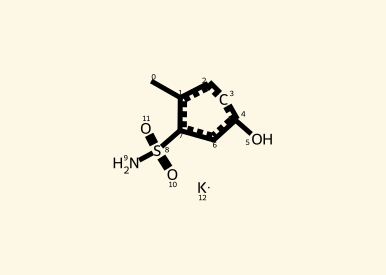 Cc1ccc(O)cc1S(N)(=O)=O.[K]